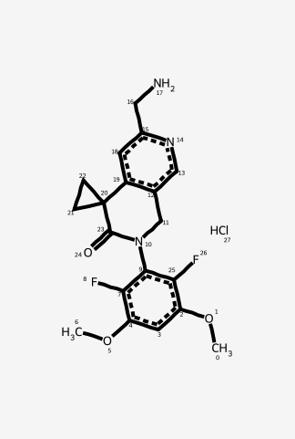 COc1cc(OC)c(F)c(N2Cc3cnc(CN)cc3C3(CC3)C2=O)c1F.Cl